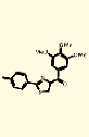 COc1cc(C(=O)C2CSC(c3ccc(C)cc3)=N2)cc(OC)c1OC